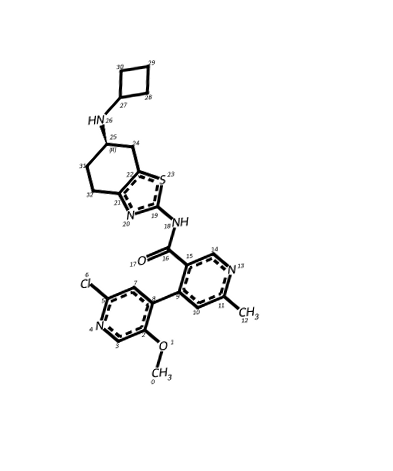 COc1cnc(Cl)cc1-c1cc(C)ncc1C(=O)Nc1nc2c(s1)C[C@H](NC1CCC1)CC2